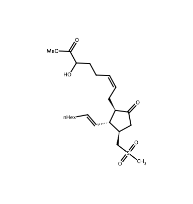 CCCCCC/C=C/[C@H]1[C@H](CS(C)(=O)=O)CC(=O)[C@@H]1C/C=C\CCC(O)C(=O)OC